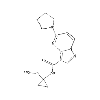 O=C(NC1(CO)CC1)c1cnn2ccc(N3CCCC3)nc12